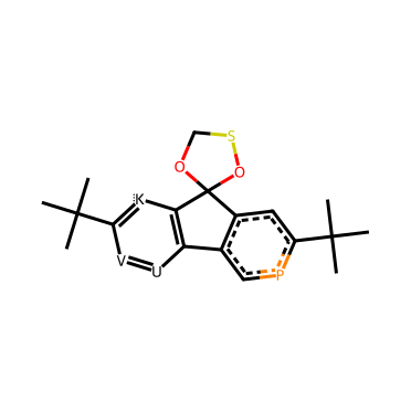 CC(C)(C)[C]1=[K][C]2=[C]([U]=[V]1)c1cpc(C(C)(C)C)cc1C21OCSO1